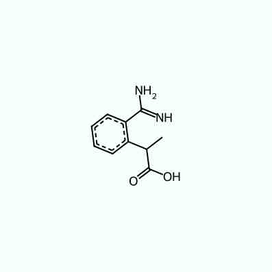 CC(C(=O)O)c1ccccc1C(=N)N